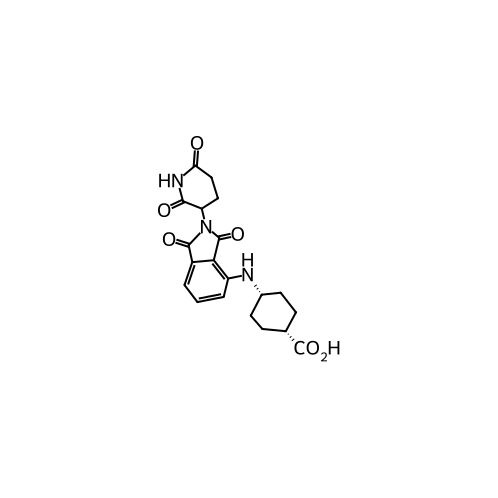 O=C1CCC(N2C(=O)c3cccc(N[C@H]4CC[C@@H](C(=O)O)CC4)c3C2=O)C(=O)N1